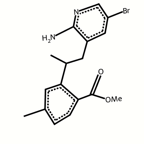 COC(=O)c1ccc(C)cc1C(C)Cc1cc(Br)cnc1N